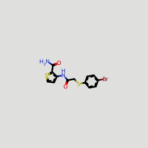 NC(=O)c1sccc1NC(=O)CSc1ccc(Br)cc1